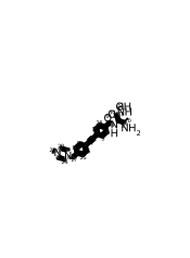 C[C@@H](N)[C@H](NC(=O)c1ccc(C#Cc2ccc(CN3CCN(C)CC3)cc2)cc1)C(=O)NO